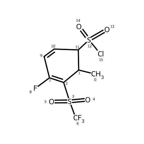 CC1C(S(=O)(=O)C(F)(F)F)=C(F)C=CC1S(=O)(=O)Cl